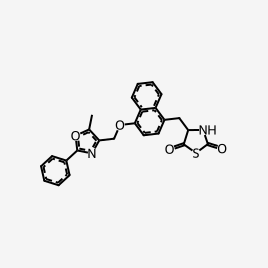 Cc1oc(-c2ccccc2)nc1COc1ccc(CC2NC(=O)SC2=O)c2ccccc12